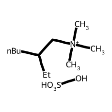 CCCCC(CC)C[N+](C)(C)C.O=S(=O)(O)O